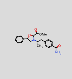 COC(=O)C1O[C@H](c2ccccc2)CN1[C@@H](C)Cc1ccc(C(N)=O)cc1